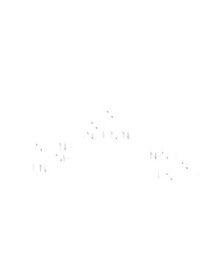 CC(/C=N/NC(=N)N/N=C/C(C)=N/NC(=N)N)=N\NC(=N)N